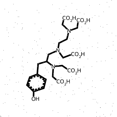 O=C(O)CN(CCN(CC(=O)O)CC(Cc1ccc(O)cc1)N(CC(=O)O)CC(=O)O)CC(=O)O